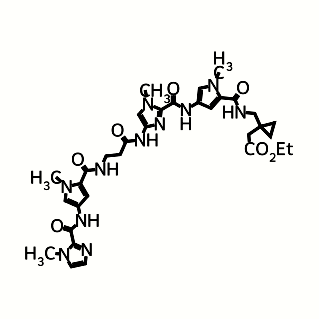 CCOC(=O)CC1(CNC(=O)c2cc(NC(=O)c3nc(NC(=O)CCNC(=O)c4cc(NC(=O)c5nccn5C)cn4C)cn3C)cn2C)CC1